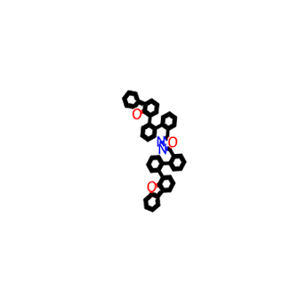 c1ccc(-c2ccccc2-c2cccc3c2oc2ccccc23)c(-c2nnc(-c3ccccc3-c3ccccc3-c3cccc4c3oc3ccccc34)o2)c1